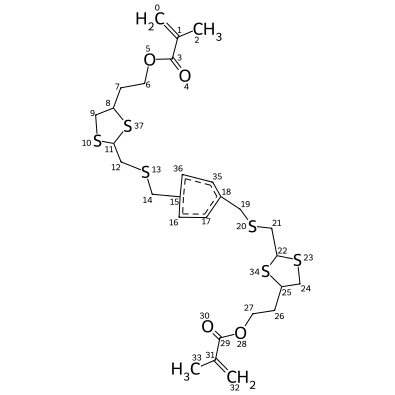 C=C(C)C(=O)OCCC1CSC(CSCc2ccc(CSCC3SCC(CCOC(=O)C(=C)C)S3)cc2)S1